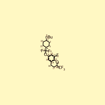 CCCCC1CCC(C(F)(F)Oc2cc(F)c3c(c2)CCC(C(F)(F)F)O3)CC1